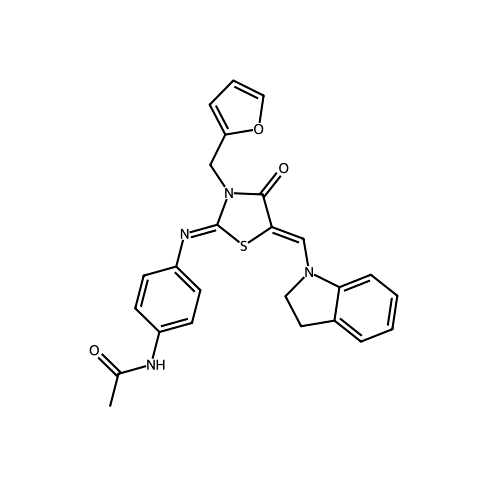 CC(=O)Nc1ccc(/N=C2\S/C(=C\N3CCc4ccccc43)C(=O)N2Cc2ccco2)cc1